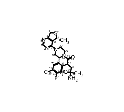 C[C@H]1SCc2ncnc(N3CCN(C(=O)C(CC(C)(C)N)c4ccc(Cl)c(F)c4)CC3)c21